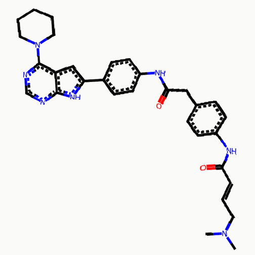 CN(C)C/C=C/C(=O)Nc1ccc(CC(=O)Nc2ccc(-c3cc4c(N5CCCCC5)ncnc4[nH]3)cc2)cc1